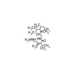 CCC(C)C(C(CC)OC)N(C)C(=O)CNC(=O)C(C(C)C)N(C)CCNN